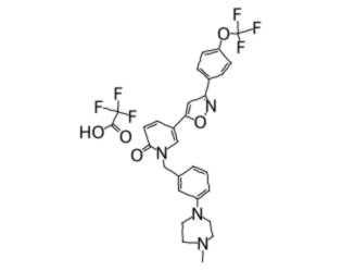 CN1CCN(c2cccc(Cn3cc(-c4cc(-c5ccc(OC(F)(F)F)cc5)no4)ccc3=O)c2)CC1.O=C(O)C(F)(F)F